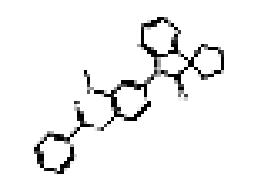 COc1cc(NC(=O)C2(c3ccccc3)CCCC2)ccc1NC(=O)c1ccccc1